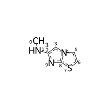 CNc1cn2ccsc2n1